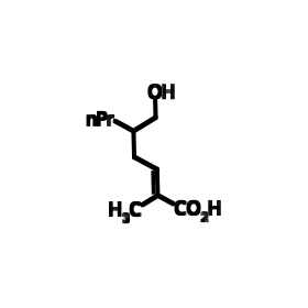 CCCC(CO)C/C=C(\C)C(=O)O